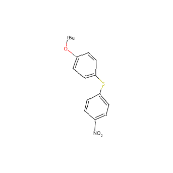 CC(C)(C)Oc1ccc(Sc2ccc([N+](=O)[O-])cc2)cc1